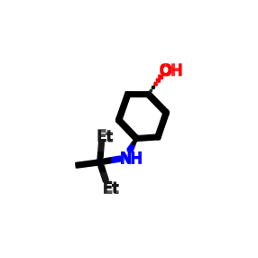 CCC(C)(CC)N[C@H]1CC[C@H](O)CC1